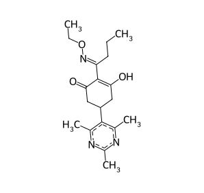 CCCC(=NOCC)C1=C(O)CC(c2c(C)nc(C)nc2C)CC1=O